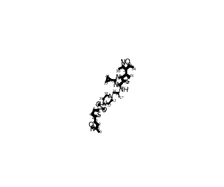 Cc1cc(-c2ccc(S(=O)(=O)N3CCN(C[C@H](C)Nc4nc(C5CC5)nc5c(-c6c(C)noc6C)csc45)CC3)s2)on1